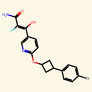 CCc1ccc(C2CC(Oc3ccc(/C(O)=C(\F)C(N)=O)cn3)C2)cc1